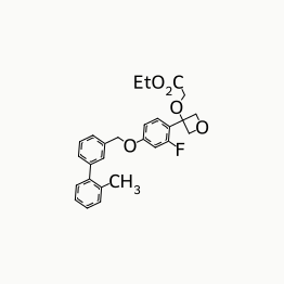 CCOC(=O)COC1(c2ccc(OCc3cccc(-c4ccccc4C)c3)cc2F)COC1